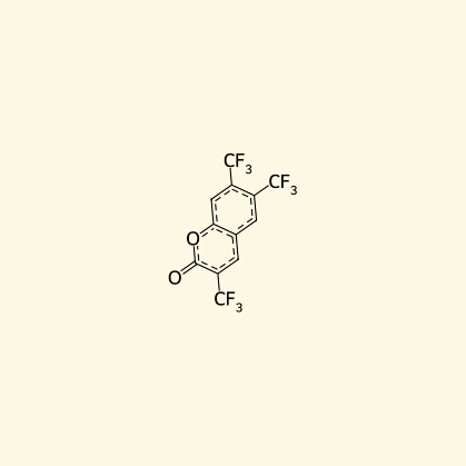 O=c1oc2cc(C(F)(F)F)c(C(F)(F)F)cc2cc1C(F)(F)F